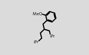 COc1ccccc1CC(CCC(C)C)CC(C)C